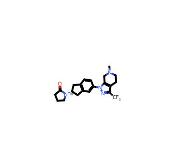 CN1CCc2c(C(F)(F)F)nn(-c3ccc4c(c3)C[C@H](N3CCCC3=O)C4)c2C1